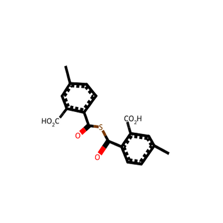 Cc1ccc(C(=O)SC(=O)c2ccc(C)cc2C(=O)O)c(C(=O)O)c1